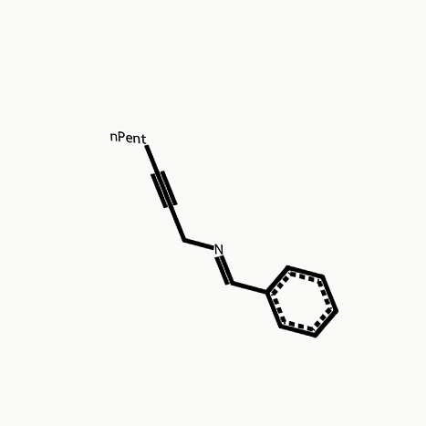 CCCCCC#CCN=Cc1ccccc1